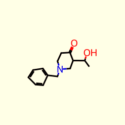 CC(O)C1CN(Cc2ccccc2)CCC1=O